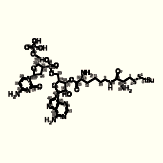 CC(C)(C)SSC[C@H](N)C(=O)NCCCC[C@H](N)C(=O)O[C@@H]1C(COP(=O)(O)[C@H]2C[C@H](n3ccc(N)nc3=O)O[C@@H]2COP(=O)(O)O)O[C@@H](n2cnc3c(N)ncnc32)[C@@H]1O